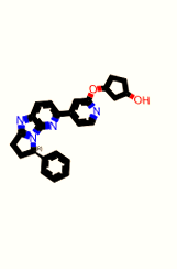 OC1CCC(Oc2cc(-c3ccc4nc5n(c4n3)[C@@H](c3ccccc3)CC5)ccn2)C1